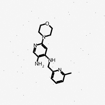 Cc1cccc(CNc2cc(N3CCOCC3)ncc2N)n1